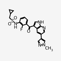 Cn1cc(-c2cnc3[nH]cc(C(=O)c4cccc(NS(=O)(=O)CC5CC5)c4F)c3c2)cn1